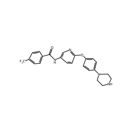 O=C(Nc1ccc(Oc2ccc(N3CCNCC3)cc2)nc1)c1ccc(C(F)(F)F)cc1